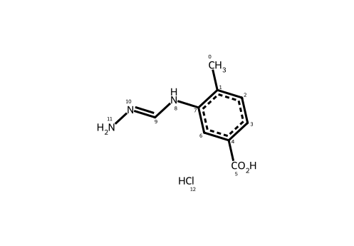 Cc1ccc(C(=O)O)cc1NC=NN.Cl